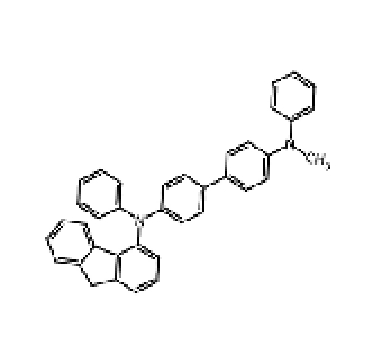 CN(c1ccccc1)c1ccc(-c2ccc(N(c3ccccc3)c3cccc4c3-c3ccccc3C4)cc2)cc1